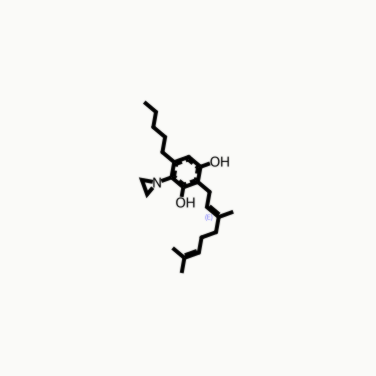 CCCCCc1cc(O)c(C/C=C(\C)CCC=C(C)C)c(O)c1N1CC1